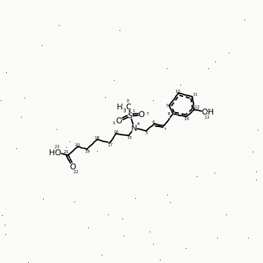 CS(=O)(=O)N(CC=Cc1cccc(O)c1)CCCCCCC(=O)O